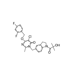 Cc1nc(OCc2ccc(F)cc2F)c(Cl)c(=O)n1Cc1ccc2c(c1)CCN2C(=O)C(C)(C)O